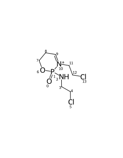 O=P1(NCCCl)OCCC=[N+]1CCCl